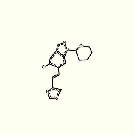 Clc1cc2cnn(C3CCCCO3)c2cc1C=Cc1cscn1